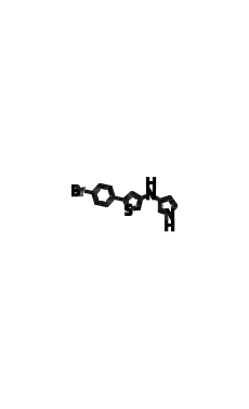 Brc1ccc(-c2cc(Nc3cc[nH]c3)cs2)cc1